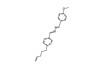 C=CCCCc1ccc(C=NN=Cc2ccc(OC)cc2)cc1